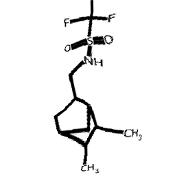 CC1C2CC(CNS(=O)(=O)C(F)(F)F)C(C2)C1C